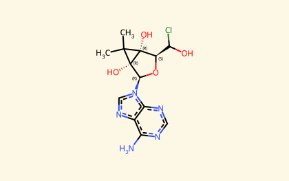 CC1(C)[C@]2(O)[C@H](n3cnc4c(N)ncnc43)O[C@H](C(O)Cl)[C@]12O